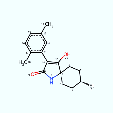 CC[C@H]1CC[C@]2(CC1)NC(=O)C(c1cc(C)ccc1C)=C2O